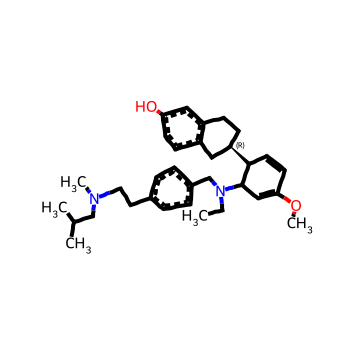 CCN(Cc1ccc(CCN(C)CC(C)C)cc1)C1C=C(OC)C=CC1[C@@H]1CCc2cc(O)ccc2C1